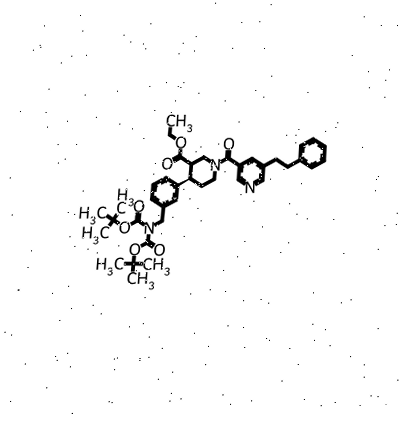 CCOC(=O)C1CN(C(=O)c2cncc(CCc3ccccc3)c2)CC[C@H]1c1cccc(CN(C(=O)OC(C)(C)C)C(=O)OC(C)(C)C)c1